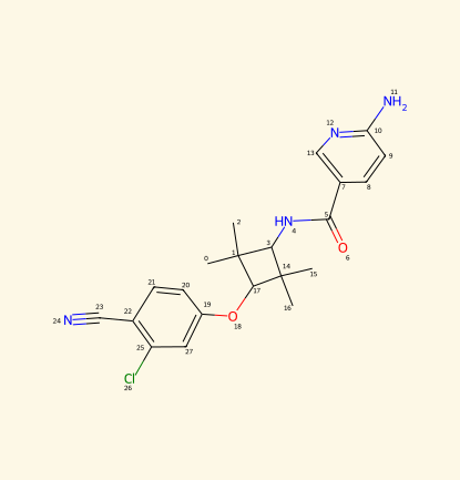 CC1(C)C(NC(=O)c2ccc(N)nc2)C(C)(C)C1Oc1ccc(C#N)c(Cl)c1